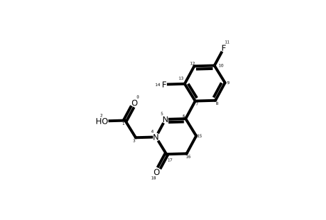 O=C(O)CN1N=C(c2ccc(F)cc2F)CCC1=O